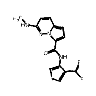 CNc1ccc2ccc(C(=O)Nc3cscc3C(F)F)n2n1